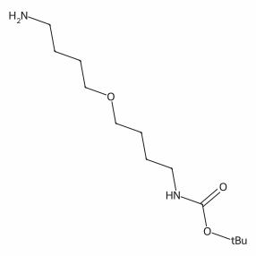 CC(C)(C)OC(=O)NCCCCOCCCCN